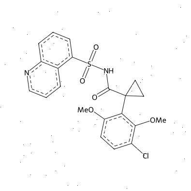 COc1ccc(Cl)c(OC)c1C1(C(=O)NS(=O)(=O)c2cccc3ncccc23)CC1